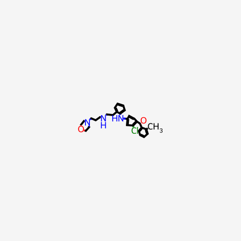 Cc1ccccc1C(=O)c1ccc(Nc2ccccc2CCNCCCN2CCOCC2)cc1Cl